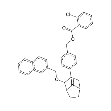 O=C(OCc1ccc(C2CC3CCC(N3)C2OCc2ccc3ccccc3c2)cc1)c1ccccc1Cl